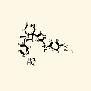 COc1ccc(Nc2nc(C3(COc4cccnc4)CNCCN3C=O)co2)cc1.Cl.Cl